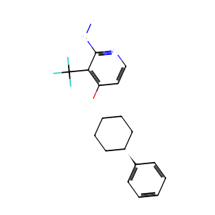 NNc1nccc(O[C@H]2CC[C@H](c3ccccc3)CC2)c1C(F)(F)F